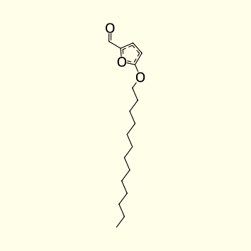 CCCCCCCCCCCCCOc1ccc(C=O)o1